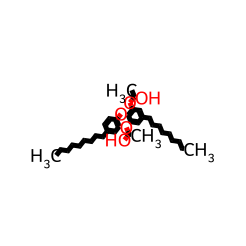 CCCCCCCCCc1ccc(Oc2ccc(CCCCCCCCC)cc2OC(C)O)c(OC(C)O)c1